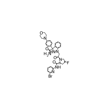 NC(=O)C1(c2ccc(N3CCOCC3)cc2)NN(CC(=O)N2C[C@H](F)C[C@H]2C(=O)Nc2cccc(Br)n2)c2ccccc21